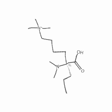 CCC[C@](CCCC[N+](C)(C)C)(C(=O)O)N(C)C